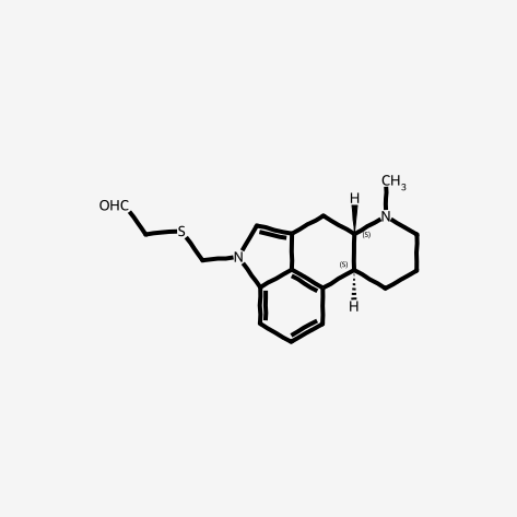 CN1CCC[C@H]2c3cccc4c3c(cn4CSCC=O)C[C@@H]21